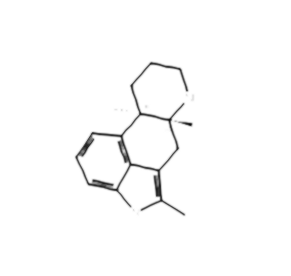 Cc1[nH]c2cccc3c2c1C[C@H]1NCCC[C@H]31